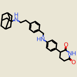 O=C1CCC(c2ccc(NCc3ccc(CCNC45CC6CC(CC(C6)C4)C5)cc3)cc2)C(=O)N1